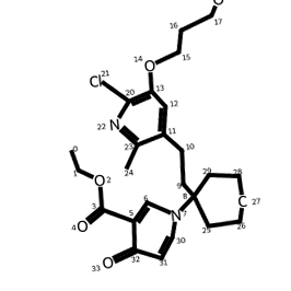 CCOC(=O)c1cn(C2(CCc3cc(OCCCOC)c(Cl)nc3C)CCCCC2)ccc1=O